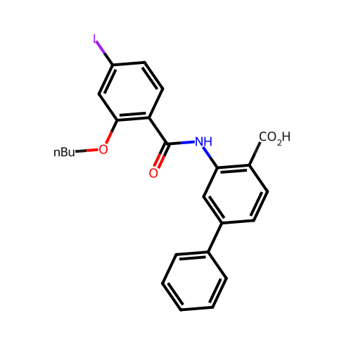 CCCCOc1cc(I)ccc1C(=O)Nc1cc(-c2ccccc2)ccc1C(=O)O